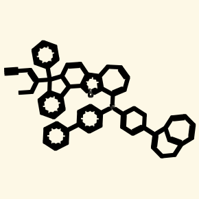 C#C/C=C(\CC)C1(c2ccccc2)c2ccccc2C2c3oc4c(c3C=CC21)CC=CC=C4N(C1=CC=C(C2=CCCC3=CC2C=CC=C3)CC1)c1ccc(-c2ccccc2)cc1